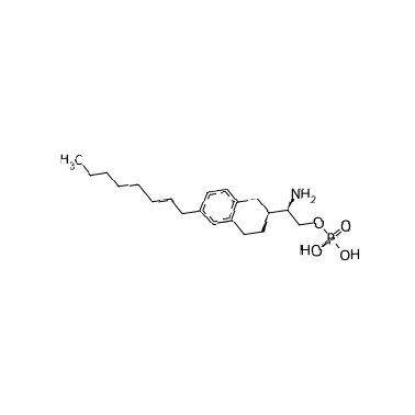 CCCCCCCCc1ccc2c(c1)CC[C@H]([C@@H](N)COP(=O)(O)O)C2